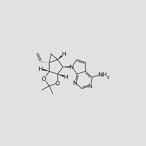 C=C[C@]12C[C@@H]1[C@@H](n1ccc3c(N)ncnc31)[C@@H]1OC(C)(C)O[C@@H]12